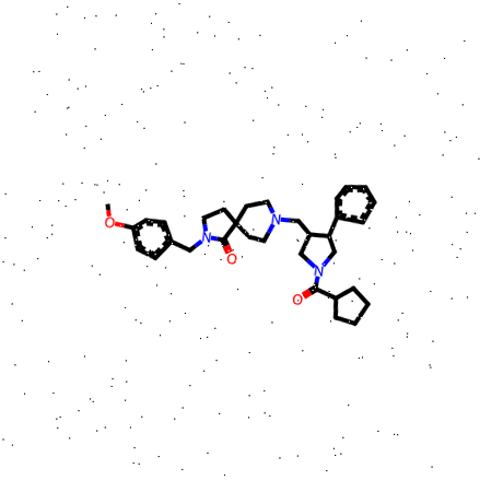 COc1ccc(CN2CCC3(CCN(CC4CN(C(=O)C5CCCC5)CC4c4ccccc4)CC3)C2=O)cc1